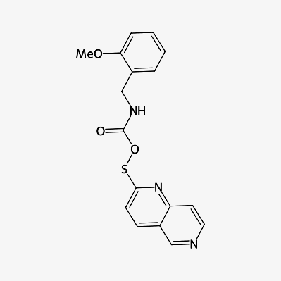 COc1ccccc1CNC(=O)OSc1ccc2cnccc2n1